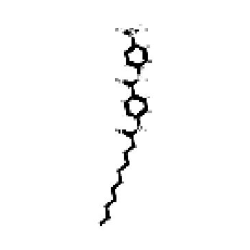 CCCCCCCCCCC(=O)Oc1ccc(C(=O)Oc2ccc([N+](=O)[O-])cc2)cc1